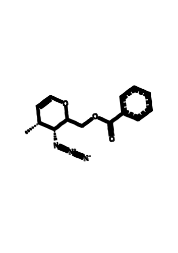 C[C@@H]1C=COC(COC(=O)c2ccccc2)[C@@H]1N=[N+]=[N-]